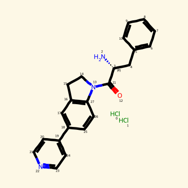 Cl.Cl.N[C@H](Cc1ccccc1)C(=O)N1CCc2cc(-c3ccncc3)ccc21